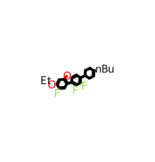 CCCCC1=CCC(c2cc3oc4cc(OCC)c(F)cc4c3c(F)c2F)CC1